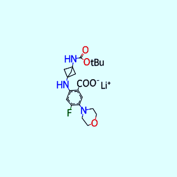 CC(C)(C)OC(=O)NC12CC(Nc3cc(F)c(N4CCOCC4)cc3C(=O)[O-])(C1)C2.[Li+]